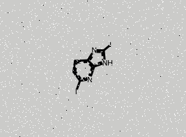 Ic1ccc2nc(I)[nH]c2n1